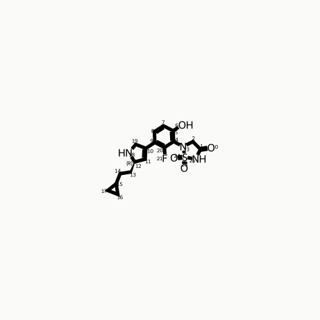 O=C1CN(c2c(O)ccc(C3=C[C@@H](CCC4CC4)NC3)c2F)S(=O)(=O)N1